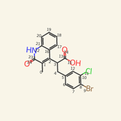 Cc1c(C(Cc2ccc(Br)c(Cl)c2)C(=O)O)c2ccccc2[nH]c1=O